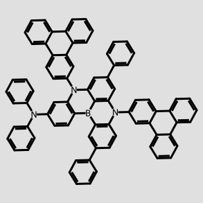 c1ccc(-c2ccc3c(c2)B2c4ccc(N(c5ccccc5)c5ccccc5)cc4N(c4ccc5c6ccccc6c6ccccc6c5c4)c4cc(-c5ccccc5)cc(c42)N3c2ccc3c4ccccc4c4ccccc4c3c2)cc1